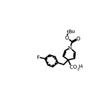 CC(C)(C)OC(=O)N1C=CC(Cc2ccc(F)cc2)(C(=O)O)C=C1